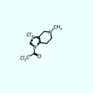 CN1CCc2c(sc[n+]2C(=O)C(Cl)(Cl)Cl)C1.[Cl-]